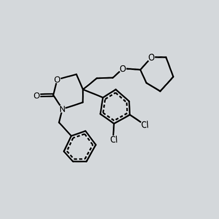 O=C1OCC(CCOC2CCCCO2)(c2ccc(Cl)c(Cl)c2)CN1Cc1ccccc1